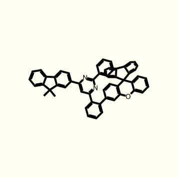 CC1(C)c2ccccc2-c2ccc(-c3cc(-c4ccccc4-c4ccc5c(c4)Oc4ccccc4C54c5ccccc5-c5ccccc54)nc(-c4ccccc4)n3)cc21